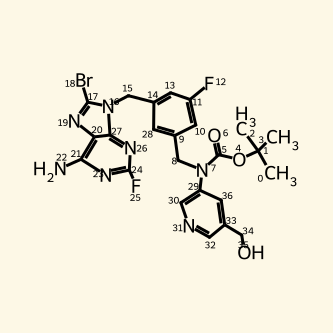 CC(C)(C)OC(=O)N(Cc1cc(F)cc(Cn2c(Br)nc3c(N)nc(F)nc32)c1)c1cncc(CO)c1